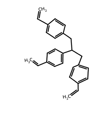 C=Cc1ccc(CC(Cc2ccc(C=C)cc2)c2ccc(C=C)cc2)cc1